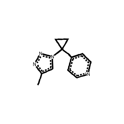 Cc1cn(C2(c3ccncc3)CC2)nn1